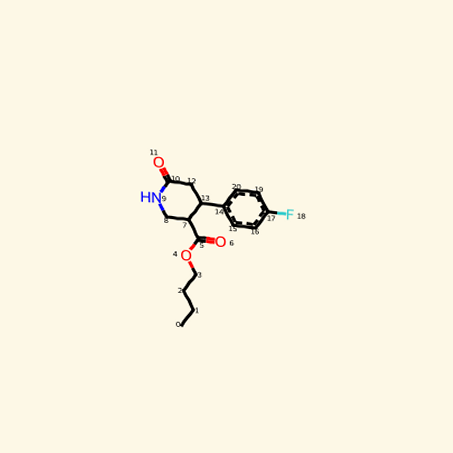 CCCCOC(=O)C1CNC(=O)CC1c1ccc(F)cc1